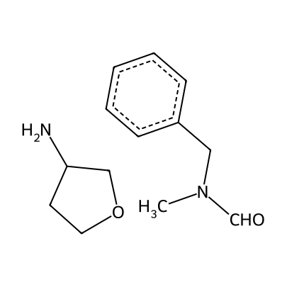 CN(C=O)Cc1ccccc1.NC1CCOC1